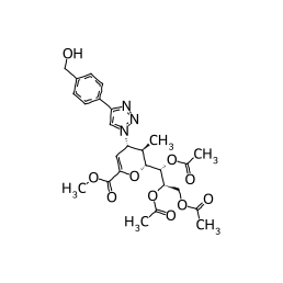 COC(=O)C1=C[C@H](n2cc(-c3ccc(CO)cc3)nn2)[C@@H](C)[C@H]([C@H](OC(C)=O)[C@@H](COC(C)=O)OC(C)=O)O1